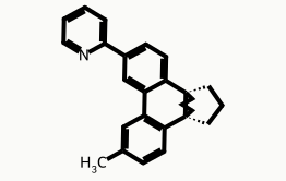 Cc1ccc2c(c1)-c1cc(-c3ccccn3)ccc1[C@]13CCC[C@]21CCC3